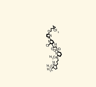 CN(CCCC1CCC(C)(C)N1)c1cccc(S(=O)(=O)NC(=O)c2ccc(-n3ccc(OCCC4(C(F)(F)F)CC4)n3)nc2Cl)n1